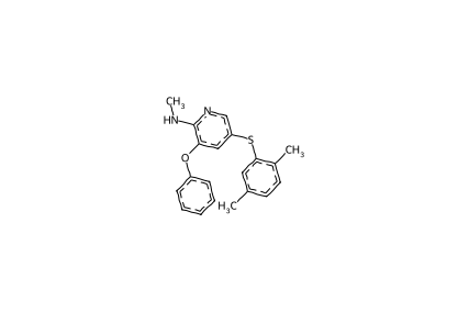 CNc1ncc(Sc2cc(C)ccc2C)cc1Oc1ccccc1